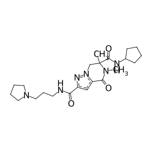 CN1C(=O)c2cc(C(=O)NCCCN3CCCC3)nn2CC1(C)C(=O)NC1CCCC1